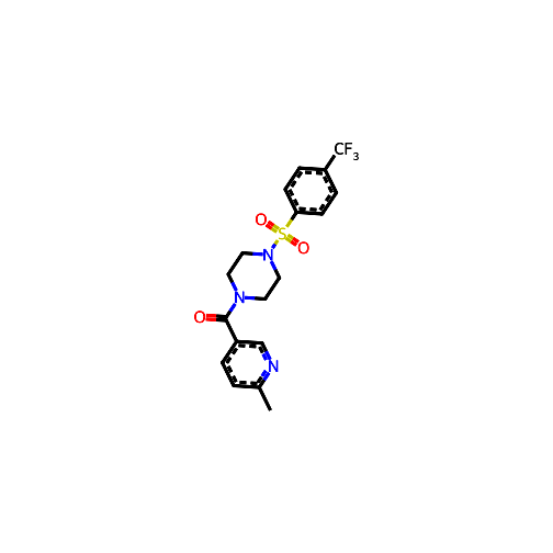 Cc1ccc(C(=O)N2CCN(S(=O)(=O)c3ccc(C(F)(F)F)cc3)CC2)cn1